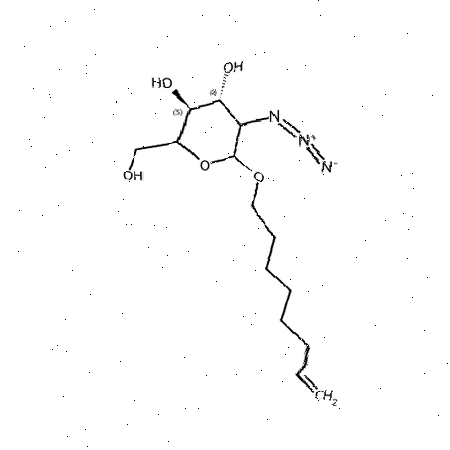 C=CCCCCCCOC1OC(CO)[C@@H](O)[C@H](O)C1N=[N+]=[N-]